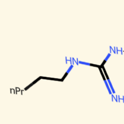 CCCCCNC([NH])=N